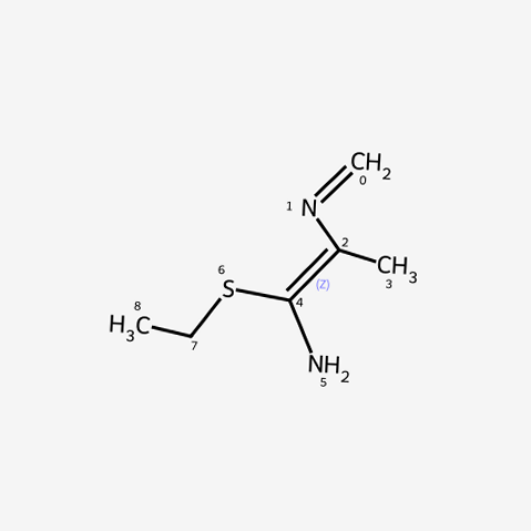 C=N/C(C)=C(/N)SCC